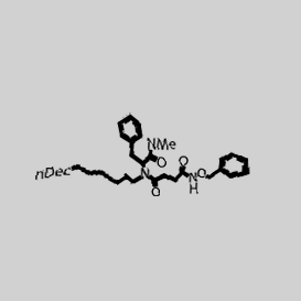 CCCCCCCCCCCCCCCCN(C(=O)CCC(=O)NOCc1ccccc1)C(Cc1ccccc1)C(=O)NC